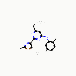 COCc1cc(Nc2cc(OC)ccc2C)nc(-c2csc(C)n2)n1